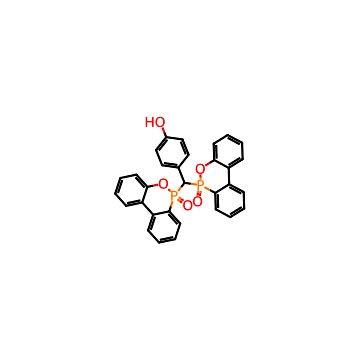 O=P1(C(c2ccc(O)cc2)P2(=O)Oc3ccccc3-c3ccccc32)Oc2ccccc2-c2ccccc21